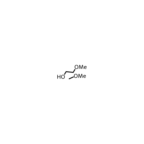 COC.COCCO